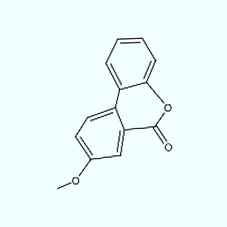 COc1ccc2c(c1)c(=O)oc1ccccc12